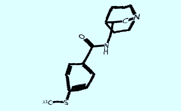 [11CH3]Sc1ccc(C(=O)NC2CN3CCC2CC3)cc1